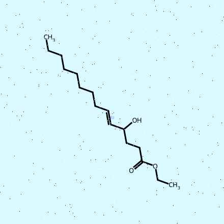 CCCCCCCC/C=C/C(O)CCC(=O)OCC